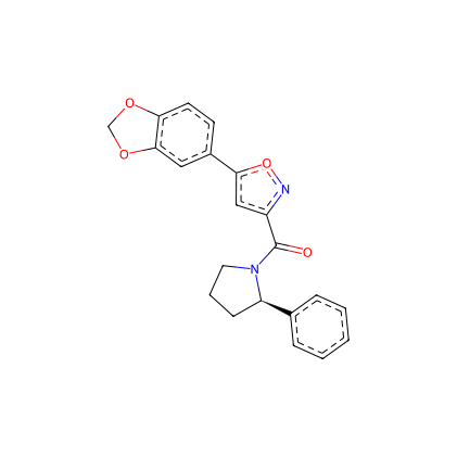 O=C(c1cc(-c2ccc3c(c2)OCO3)on1)N1CCC[C@@H]1c1ccccc1